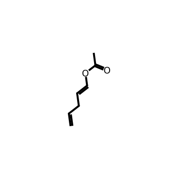 C=CCC=COC(C)=O